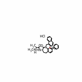 CN[C@@H](C)C(=O)N[C@H]1CCc2ccc(-c3ccccc3)cc2N(Cc2c(C)ccc3ccccc23)C1=O.Cl